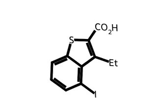 CCc1c(C(=O)O)sc2cccc(I)c12